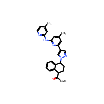 COC(=O)C1CCC(n2cc(-c3cc(C)cc(Nc4cc(C(F)(F)F)ccn4)n3)cn2)c2ccccc21